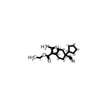 CCOC(=O)c1c(N)sc2c1CCC(C#N)(C1CCCC1)C2